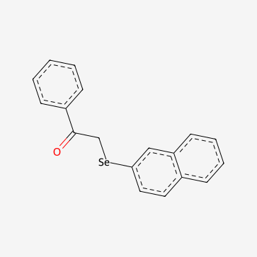 O=C(C[Se]c1ccc2ccccc2c1)c1ccccc1